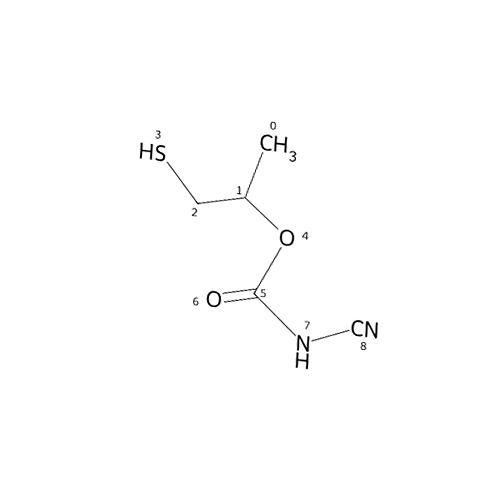 CC(CS)OC(=O)NC#N